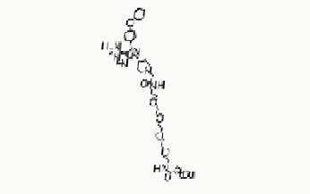 CC(C)(C)OC(=O)NCCOCCOCCOCCOCCNC(=O)CN1CCC(n2nc(-c3ccc(Oc4ccccc4)cc3)c3c(N)ncnc32)CC1